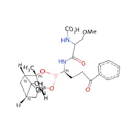 COCC(NC(=O)O)C(=O)N[C@@H](CCC(=O)c1ccccc1)B1O[C@@H]2C[C@@H]3C[C@@H](C3(C)C)[C@]2(C)O1